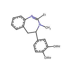 CCC1=Nc2ccccc2CC(c2ccc(OC)c(OC)c2)N1C